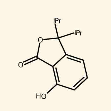 CC(C)C1(C(C)C)OC(=O)c2c(O)cccc21